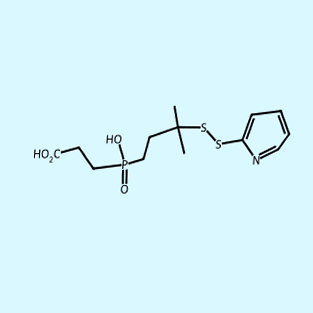 CC(C)(CCP(=O)(O)CCC(=O)O)SSc1ccccn1